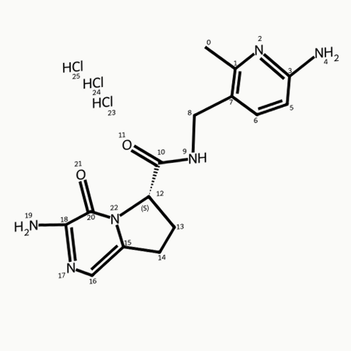 Cc1nc(N)ccc1CNC(=O)[C@@H]1CCc2cnc(N)c(=O)n21.Cl.Cl.Cl